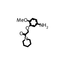 COc1ccc(N)cc1OCC(=O)N1CCCCC1